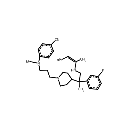 CCC/C=C(/C)NCC(C)(c1cccc(F)c1)C1CCN(CCCN(CC)c2ccc(C#N)cc2)CC1